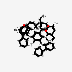 C=Cc1cc(C(C)(C)C)ccc1N(c1c(-c2cccc(CC(C)(C)C)c2)c(N2c3ccc(C(C)(C)C)cc3C=CC2(C)C(C)C)c(-n2c3ccccc3c3ccccc32)c(C#N)c1-n1c2ccccc2c2ccccc21)C(C)C